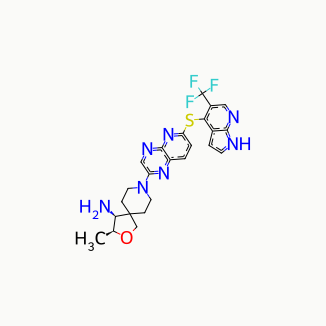 C[C@@H]1OCC2(CCN(c3cnc4nc(Sc5c(C(F)(F)F)cnc6[nH]ccc56)ccc4n3)CC2)[C@@H]1N